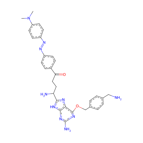 CN(C)c1ccc(N=Nc2ccc(C(=O)CCC(N)c3nc4c(OCc5ccc(CN)cc5)nc(N)nc4[nH]3)cc2)cc1